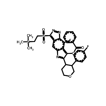 C[Si](C)(C)CCS(=O)(=O)C1=c2cc3c(c(F)c2N=N1)=C(OC(=O)c1ccccc1)C(C1CCOCC1c1ccc(F)cc1)=N3